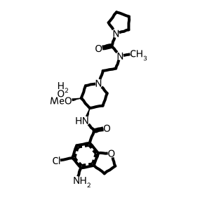 CO[C@H]1CN(CCN(C)C(=O)N2CCCC2)CC[C@H]1NC(=O)c1cc(Cl)c(N)c2c1OCC2.O